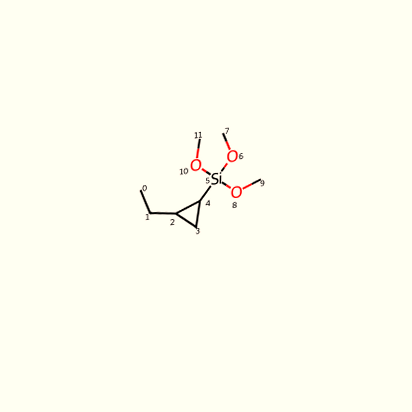 CCC1CC1[Si](OC)(OC)OC